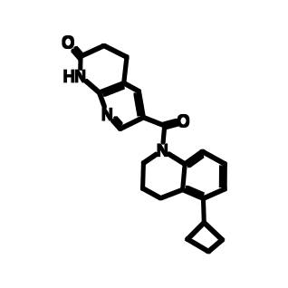 O=C1CCc2cc(C(=O)N3CCCc4c(C5CCC5)cccc43)cnc2N1